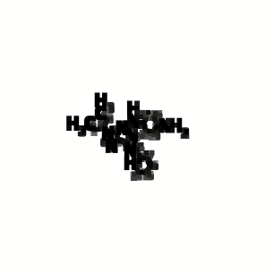 CCC(CC)n1cnc2c(NCc3ccccc3)nc(NC3CCC(N)CC3)nc21